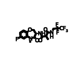 CC(C(=O)NCC(F)(F)C(F)(F)F)C(=O)N[C@H]1COc2ccc(F)cc2N(C)C1=O